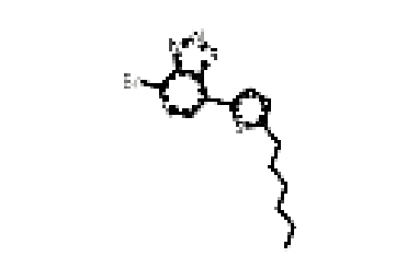 CCCCCCc1ccc(-c2cnc(Br)c3nnsc23)s1